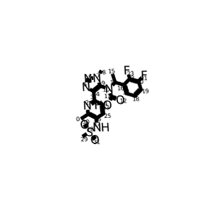 Cc1nc(-c2nnn(C)c2N(C(=O)O)C(C)c2cccc(F)c2F)ccc1NS(C)(=O)=O